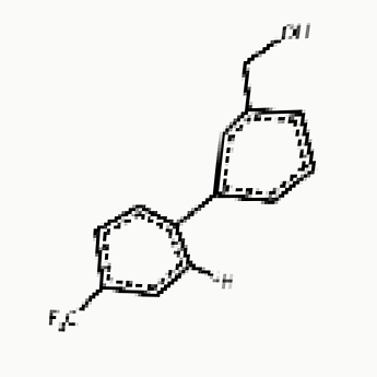 [2H]c1cc(C(F)(F)F)ccc1-c1cccc(CO)c1